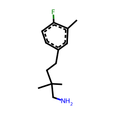 Cc1cc(CCC(C)(C)CN)ccc1F